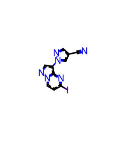 N#Cc1cnn(-c2cnn3ccc(I)nc23)c1